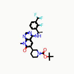 C[C@@H](Nc1ncnc2c1cc(C1CCCN(C(=O)OC(C)(C)C)C1)c(=O)n2C)c1cccc(C(F)F)c1F